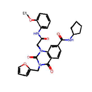 CCOc1ccccc1NC(=O)Cn1c(=O)n(Cc2ccco2)c(=O)c2ccc(C(=O)NC3CCCC3)cc21